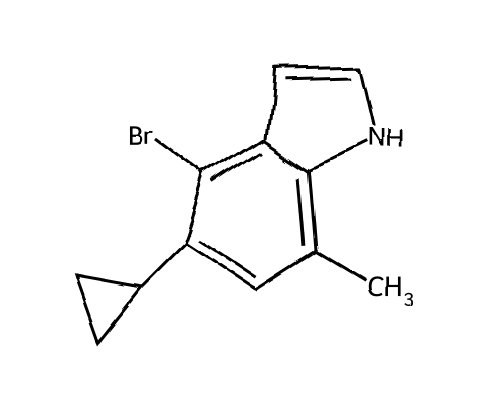 Cc1cc(C2CC2)c(Br)c2cc[nH]c12